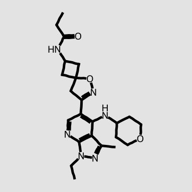 CCC(=O)NC1CC2(CC(c3cnc4c(c(C)nn4CC)c3NC3CCOCC3)=NO2)C1